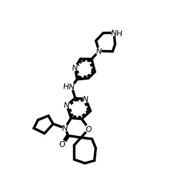 O=C1N(C2CCCC2)c2nc(Nc3ccc(N4CCNCC4)cn3)ncc2OC12CCCCCC2